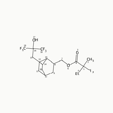 CCC(C)(I)C(=O)OCC1CC2CCC1C(CC(O)(C(F)(F)F)C(F)(F)F)C2